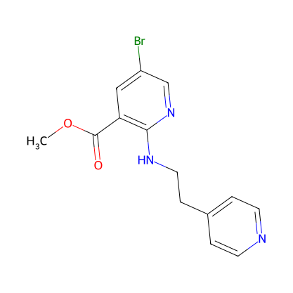 COC(=O)c1cc(Br)cnc1NCCc1ccncc1